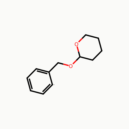 [c]1ccccc1COC1CCCCO1